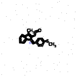 CSc1ccc(/C=C2\C(CC=O)=C(C)c3ccccc32)cc1